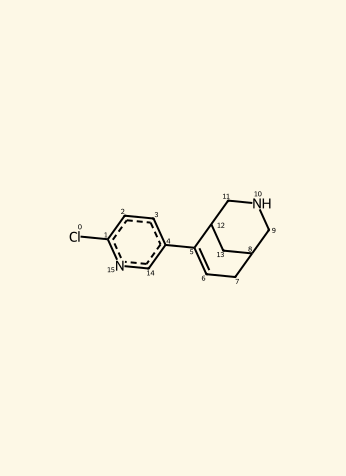 Clc1ccc(C2=CCC3CNCC2C3)cn1